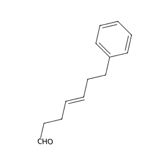 O=CCCC=CCCc1ccccc1